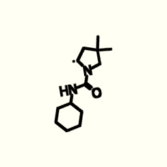 CC1(C)C[CH]N(C(=O)NC2CCCCC2)C1